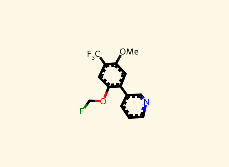 COc1cc(-c2cccnc2)c(OCF)cc1C(F)(F)F